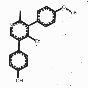 CCCOc1ccc(-c2c(C)ncc(-c3ccc(O)cc3)c2CC)cc1